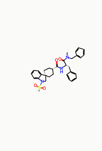 CN(Cc1ccccc1)C(=O)[C@H](Cc1ccccc1)NC(=O)[C@H]1CC[C@]2(CC1)CN(S(C)(=O)=O)c1ccccc12